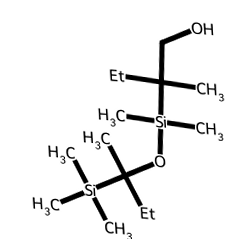 CCC(C)(O[Si](C)(C)C(C)(CC)CO)[Si](C)(C)C